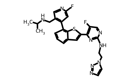 CC(C)NCc1cnc(F)cc1-c1cccc2cc(-c3nc(NCCn4ccnn4)ncc3F)sc12